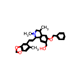 Cc1cc2c(cc1/C=C/C1c3cc(CO)c(OCc4ccccc4)cc3C(C)CN1C)OCO2